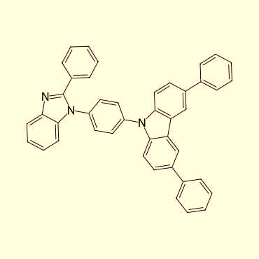 c1ccc(-c2ccc3c(c2)c2cc(-c4ccccc4)ccc2n3-c2ccc(-n3c(-c4ccccc4)nc4ccccc43)cc2)cc1